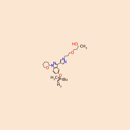 C[C@@H](O)CCOCCCn1cc(-c2nn(C3CCCCO3)c3ccc(O[Si](C)(C)C(C)(C)C)cc23)cn1